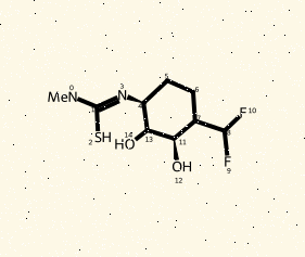 CN/C(S)=N/[C@H]1CCC(C(F)F)[C@@H](O)C1O